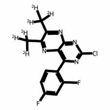 [2H]C([2H])([2H])c1nc2nc(Cl)nc(-c3ccc(F)cc3F)c2nc1C([2H])([2H])[2H]